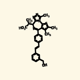 Cc1sc2c(c1C)C(c1ccc(C=Cc3cccc(CO)c3)cc1)=NC([C@H](C)C(=O)O)c1nnc(C)n1-2